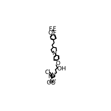 O=[N+]([O-])c1cn(CC[C@@H](O)COc2ccc(N3CCC(CCc4ccc(OC(F)(F)F)cc4)CC3)cc2)c(Cl)n1